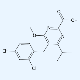 COc1nc(C(=O)O)nc(C(C)C)c1Cc1ccc(Cl)cc1Cl